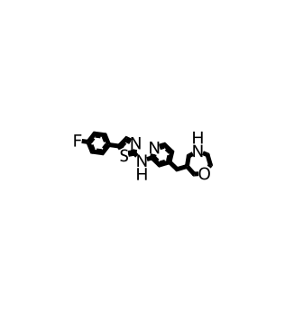 Fc1ccc(-c2cnc(Nc3cc(CC4CNCCOC4)ccn3)s2)cc1